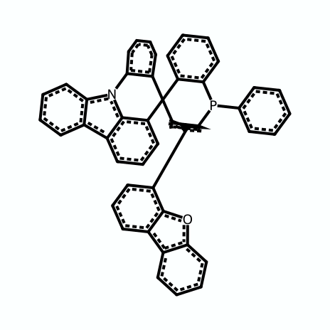 c1ccc(P2c3ccccc3C3(c4ccccc4-n4c5ccccc5c5cccc3c54)c3cc(-c4cccc5c4oc4ccccc45)ccc32)cc1